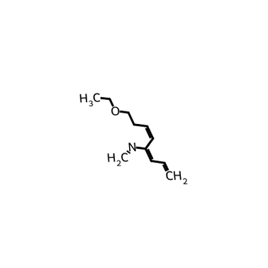 C=C/C=C(\C=C/CCOCC)N=C